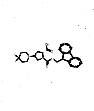 O=C(O)[C@H]1CC(N2CCC(F)(F)CC2)CN1C(=O)OCC1c2ccccc2-c2ccccc21